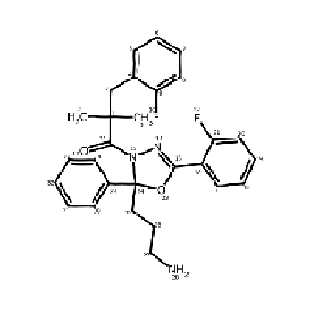 CC(C)(Cc1ccccc1F)C(=O)N1N=C(c2ccccc2F)OC1(CCCN)c1ccccc1